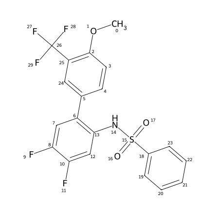 COc1ccc(-c2cc(F)c(F)cc2NS(=O)(=O)c2ccccc2)cc1C(F)(F)F